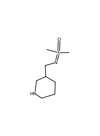 CS(C)(=O)=NCC1CCCNC1